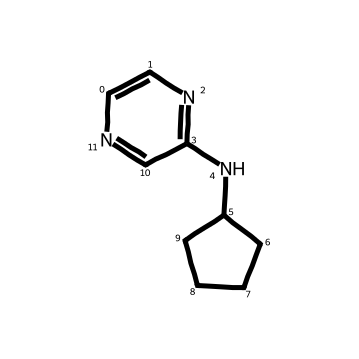 c1cnc(NC2CCCC2)cn1